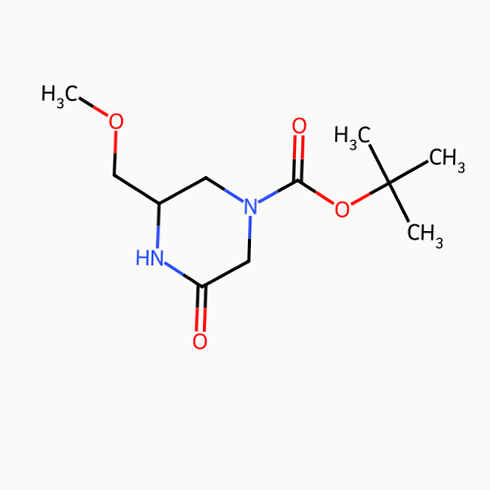 COCC1CN(C(=O)OC(C)(C)C)CC(=O)N1